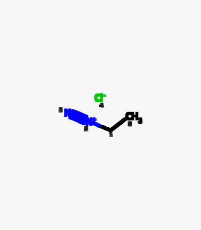 CC[N+]#N.[Cl-]